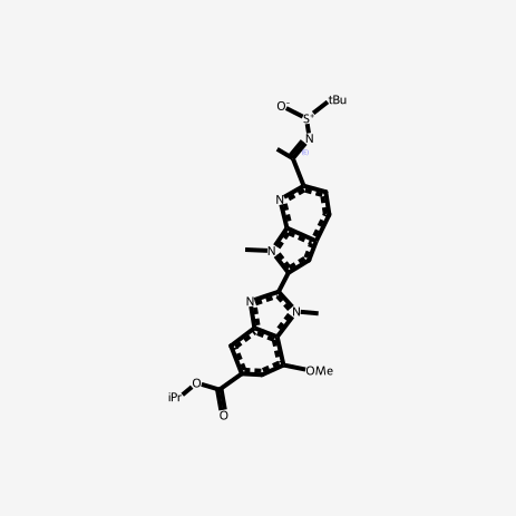 COc1cc(C(=O)OC(C)C)cc2nc(-c3cc4ccc(/C(C)=N/[S+]([O-])C(C)(C)C)nc4n3C)n(C)c12